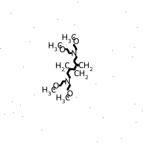 C=C(CCN(CCOC)CCOC)C(=C)C(=C)CCN(CCOC)CCOC